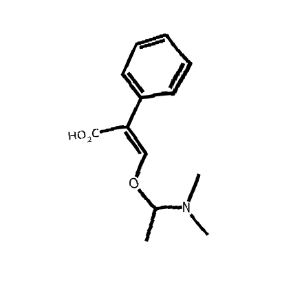 CC(OC=C(C(=O)O)c1ccccc1)N(C)C